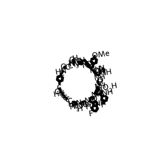 COc1ccc(C[C@@H]2NC(=O)[C@H](Cc3cnc[nH]3)NC(=O)[C@H](CC(=O)O)NC(=O)[C@H](Cc3c[nH]c4ccc(F)cc34)NC(=O)[C@H](Cc3c[nH]c4ccc(F)cc34)NC(=O)[C@@H](C)NC(=O)[C@H](NC(C)=O)CCCCNC(=O)Cc3ccc(cc3)CNC(=O)CC[C@@H](C(N)=O)NC(=O)[C@]3(C)CCCN3C2=O)cc1